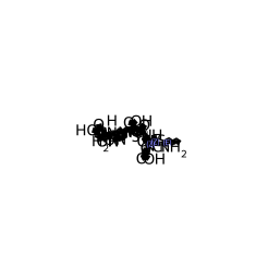 CCC/C=C(\N)S/C(Cl)=C(C)/C(=N/OC(C)(C)C(=O)O)C(=O)N[C@@H]1C(=O)N2C(C(=O)O)=C(CN3C=C(NC(=O)c4cc(=O)c(O)cn4O)C(N)=NC3)CSC12